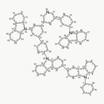 c1ccc(-n2c3ccccc3c3cc(-c4ccc5c(c4)c4ccccc4n5-c4ccc(-c5cc(-c6cncc(-c7cccc(-n8c9ccccc9c9ccccc98)c7)c6)cc(-n6c7ccccc7c7ccccc76)c5)cc4)ccc32)cc1